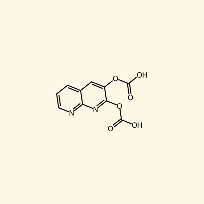 O=C(O)Oc1cc2cccnc2nc1OC(=O)O